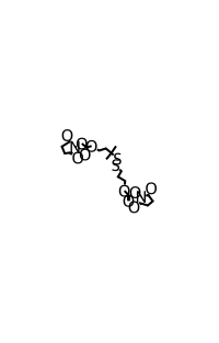 CC(C)(CCOC(=O)ON1C(=O)CCC1=O)SSCCCOC(=O)ON1C(=O)CCC1=O